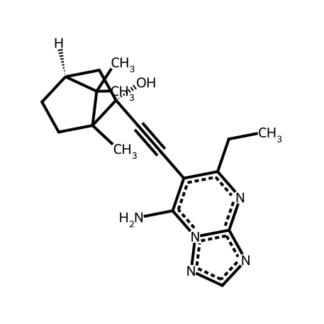 CCc1nc2ncnn2c(N)c1C#C[C@]1(O)C[C@@H]2CCC1(C)C2(C)C